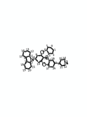 c1ccc2c(c1)Oc1cc(-n3c4ccccc4c4ccccc43)cc3c1B2c1cc(-c2ccncc2)ccc1O3